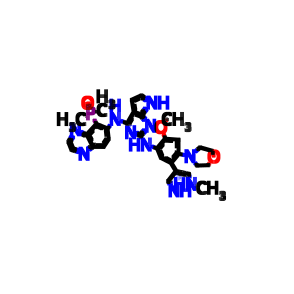 CN/C=C(\C=N)c1cc(Nc2nc(Nc3ccc4nccnc4c3P(C)(C)=O)c3cc[nH]c3n2)c(OC)cc1N1CCOCC1